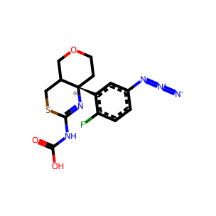 [N-]=[N+]=Nc1ccc(F)c([C@]23CCOCC2CSC(NC(=O)O)=N3)c1